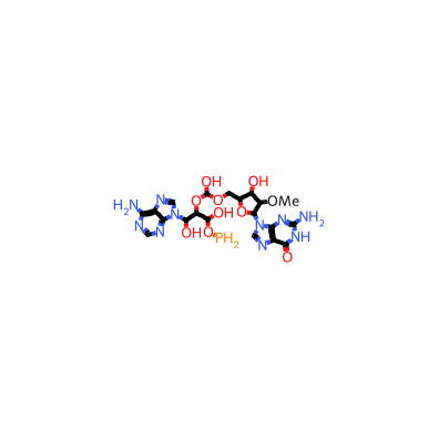 COC1C(O)C(COC(O)OC(C(O)OP)C(O)n2cnc3c(N)ncnc32)OC1n1cnc2c(=O)[nH]c(N)nc21